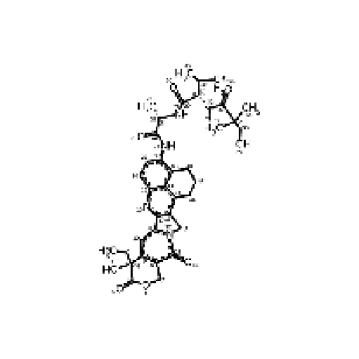 CC[C@@]1(O)C(=O)OCc2c1cc1n(c2=O)Cc2c-1nc1ccc(NC(=O)[C@H](C)NC(=O)[C@@H](NC(=O)C(C)(C)CO)C(C)C)c3c1c2CCC3